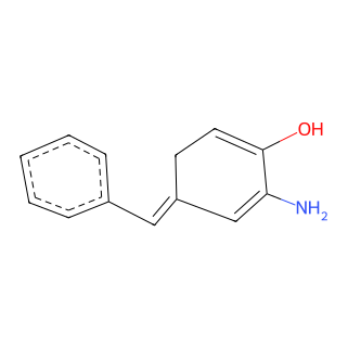 NC1=CC(=Cc2ccccc2)CC=C1O